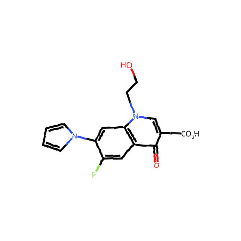 O=C(O)c1cn(CCO)c2cc(-n3cccc3)c(F)cc2c1=O